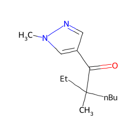 CCCCC(C)(CC)C(=O)c1cnn(C)c1